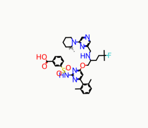 Cc1cccc(C)c1-c1cc(OCC(CCC(C)(C)F)NCc2cncc(N3CCCC[C@H]3C)n2)nc(NS(=O)(=O)c2cccc(C(=O)O)c2)n1